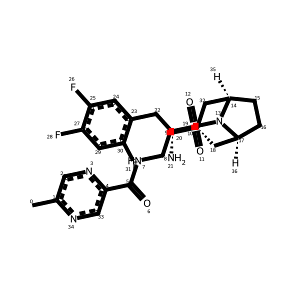 Cc1cnc(C(=O)NCCS(=O)(=O)N2[C@@H]3CC[C@H]2C[C@H]([C@H](N)Cc2cc(F)c(F)cc2F)C3)cn1